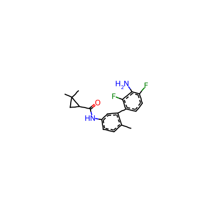 Cc1ccc(NC(=O)C2CC2(C)C)cc1-c1ccc(F)c(N)c1F